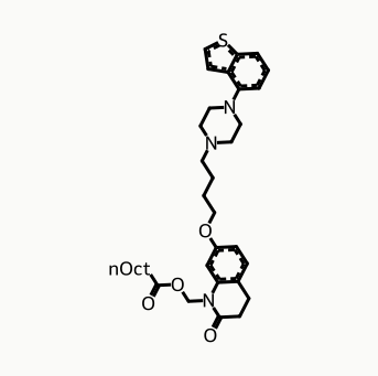 CCCCCCCCC(=O)OCN1C(=O)CCc2ccc(OCCCCN3CCN(c4cccc5sccc45)CC3)cc21